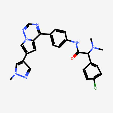 CN(C)C(C(=O)Nc1ccc(-c2ncnn3cc(-c4cnn(C)c4)cc23)cc1)c1ccc(Cl)cc1